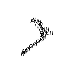 Cc1ccnc(NCCCC(=O)NCC(=O)NC(CC(=O)O)c2cccc(-n3nc(C)c(OCCOCCOCCOCCOCCN=[N+]=[N-])c3C)c2)c1